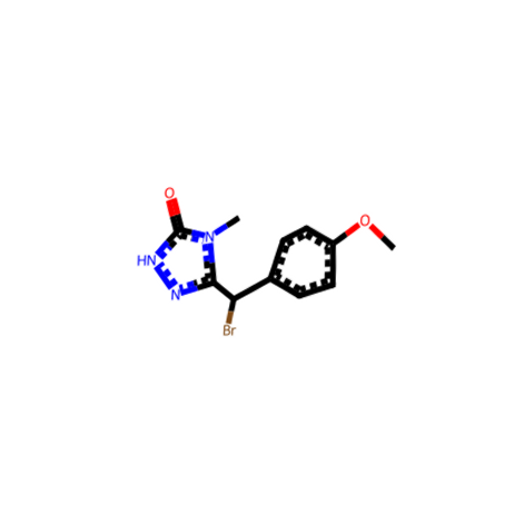 COc1ccc(C(Br)c2n[nH]c(=O)n2C)cc1